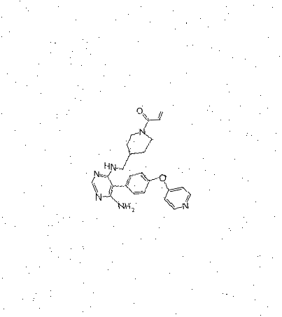 C=CC(=O)N1CCC(CNc2ncnc(N)c2-c2ccc(Oc3ccncc3)cc2)CC1